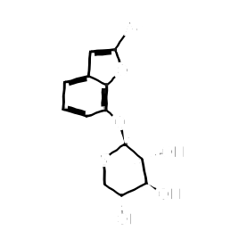 CC(=O)c1cc2cccc(O[C@@H]3SC[C@@H](O)[C@H](O)[C@H]3O)c2o1